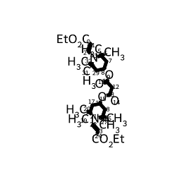 CCOC(=O)C=CN1C(C)(C)CC(OC(=O)CC(=O)OC2CC(C)(C)N(C=CC(=O)OCC)C(C)(C)C2)CC1(C)C